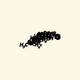 C[C@@H]1CC[C@@]2(OC1)O[C@H]1C[C@H]3[C@@H]4CC=C5C[C@@H](O[C@@H]6OC7COC(c8ccccc8)O[C@H]7[C@H](O)C6O)CC[C@]5(C)[C@H]4CC[C@]3(C)[C@H]1[C@@H]2C